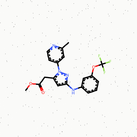 COC(=O)Cc1cc(Nc2cccc(OC(F)(F)F)c2)nn1-c1ccnc(C)c1